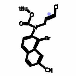 CC(C)(C)OC(=O)N(C/C=C/Cl)c1ccc2ccc(C#N)cc2c1Br